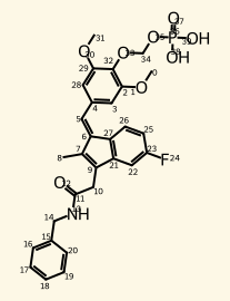 COc1cc(/C=C2/C(C)=C(CC(=O)NCc3ccccc3)c3cc(F)ccc32)cc(OC)c1OCOP(=O)(O)O